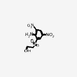 Nc1c([N+](=O)[O-])cc([N+](=O)[O-])cc1S(=O)(=O)CCO